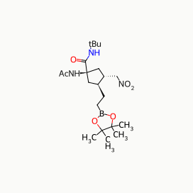 CC(=O)N[C@]1(C(=O)NC(C)(C)C)C[C@H](CCB2OC(C)(C)C(C)(C)O2)[C@@H](C[N+](=O)[O-])C1